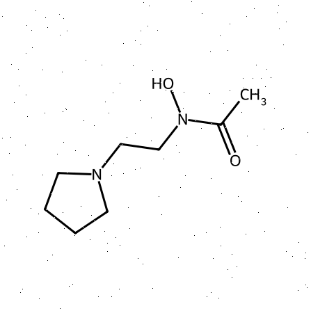 CC(=O)N(O)CCN1CCCC1